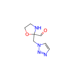 O=CC1(Cn2ccnn2)NCCO1